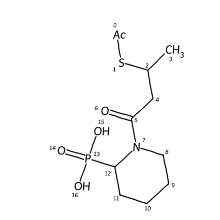 CC(=O)SC(C)CC(=O)N1CCCCC1P(=O)(O)O